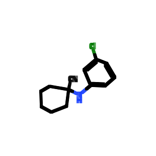 N#CC1(Nc2cccc(Cl)c2)CCCCC1